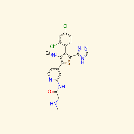 [C-]#[N+]c1c(-c2ccnc(NC(=O)CNC)c2)sc(-c2nnc[nH]2)c1-c1ccc(Cl)cc1Cl